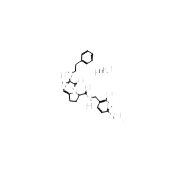 Cc1nc(N)ccc1CNC(=O)C1CCc2cnc(NCCc3ccccc3)c(=O)n21.Cl.Cl